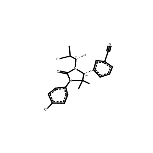 CC(Cl)[C@H](C)N1C(=O)N(c2ccc(Cl)cc2)C(C)(C)[C@H]1c1cccc(C#N)c1